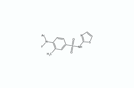 CC(=O)N(F)c1ccc(S(=O)(=O)Nc2nccs2)cc1C